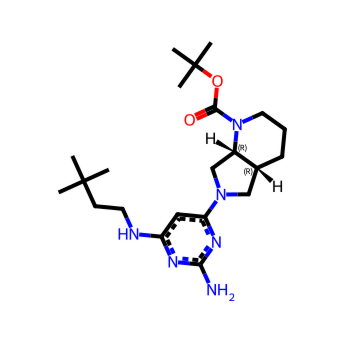 CC(C)(C)CCNc1cc(N2C[C@H]3CCCN(C(=O)OC(C)(C)C)[C@H]3C2)nc(N)n1